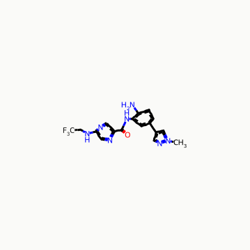 Cn1cc(-c2ccc(N)c(NC(=O)c3cnc(NCC(F)(F)F)cn3)c2)cn1